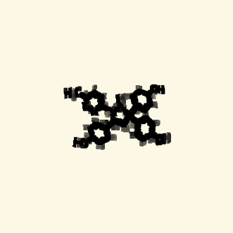 Cc1ccc(N2NC(c3ccc(O)cc3)(c3ccc(O)cc3)C=C2c2ccc(O)cc2)nn1